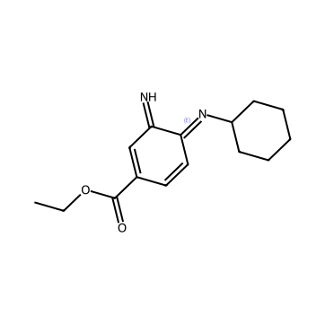 CCOC(=O)C1=CC(=N)/C(=N/C2CCCCC2)C=C1